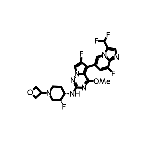 COc1nc(N[C@H]2CCN(C3COC3)C[C@H]2F)nn2cc(F)c(-c3cc(F)c4ncc(C(F)F)n4c3)c12